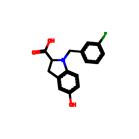 O=C(O)C1Cc2cc(O)ccc2N1Cc1cccc(F)c1